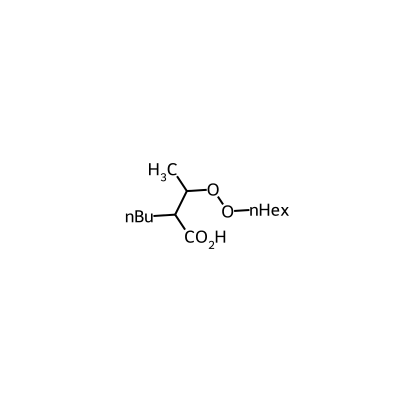 CCCCCCOOC(C)C(CCCC)C(=O)O